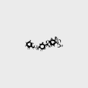 COC(=O)c1cc2nc(C3CCC(COCc4ccccc4)CC3)oc2cc1Br